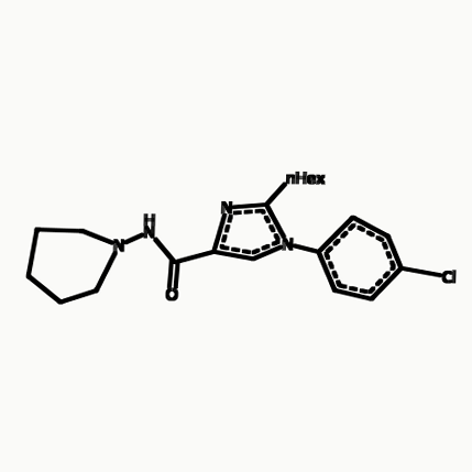 CCCCCCc1nc(C(=O)NN2CCCCC2)cn1-c1ccc(Cl)cc1